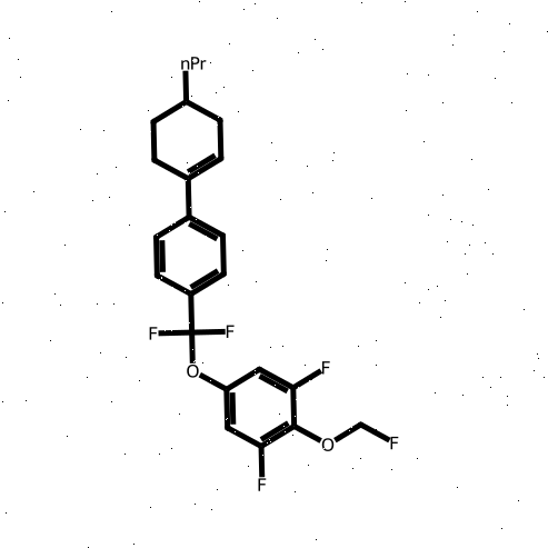 CCCC1CC=C(c2ccc(C(F)(F)Oc3cc(F)c(OCF)c(F)c3)cc2)CC1